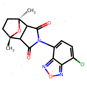 C[C@@]12CC[C@](C)(O1)C1C(=O)N(c3ccc(Cl)c4nonc34)C(=O)C12